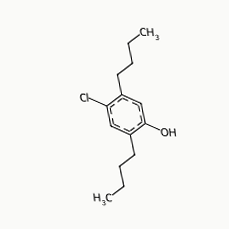 CCCCc1cc(Cl)c(CCCC)cc1O